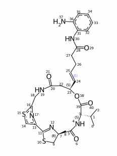 CC(C)[C@@H]1NC(=O)[C@]2(C)CSC(=N2)c2csc(n2)CNC(=O)C[C@@H](/C=C/CCC(=O)Nc2ccccc2N)OC1=O